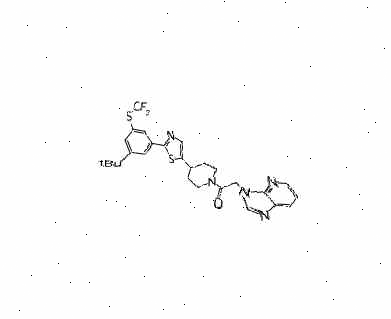 CC(C)(C)c1cc(SC(F)(F)F)cc(-c2ncc(C3CCN(C(=O)Cn4cnc5cccnc54)CC3)s2)c1